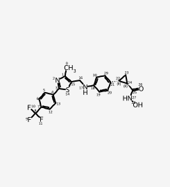 Cc1nc(-c2ccc(C(F)(F)F)cc2)sc1CNc1ccc([C@@H]2C[C@H]2C(=O)NO)cc1